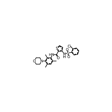 Cc1cc(C)c(N2CCOCC2)c(C)c1NC(=O)c1sccc1NS(=O)(=O)c1ccccc1Cl